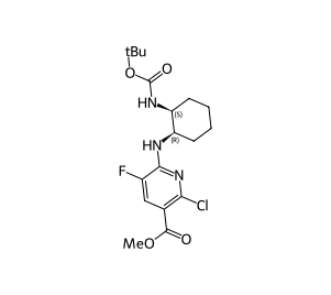 COC(=O)c1cc(F)c(N[C@@H]2CCCC[C@@H]2NC(=O)OC(C)(C)C)nc1Cl